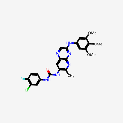 COc1cc(Nc2cnc3cc(NC(=O)Nc4ccc(F)c(Cl)c4)c(C)nc3n2)cc(OC)c1OC